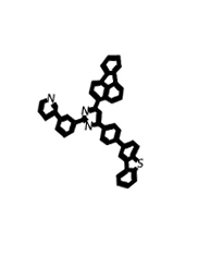 c1cncc(-c2cccc(-c3nc(-c4ccc(-c5ccc6sc7ccccc7c6c5)cc4)cc(-c4ccc5c6c(cccc46)-c4ccccc4-5)n3)c2)c1